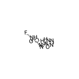 Nc1nccnc1C(=O)Nc1cnn(Cc2cccc(C(=O)NCCCF)c2)c1